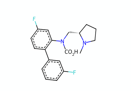 CN1CCC[C@H]1CN(C(=O)O)c1cc(F)ccc1-c1cccc(F)c1